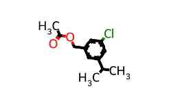 CC(=O)OCc1cc(Cl)cc(C(C)C)c1